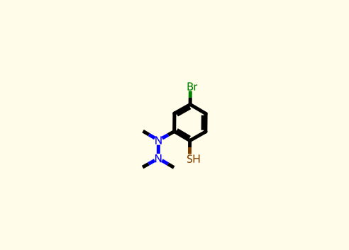 CN(C)N(C)c1cc(Br)ccc1S